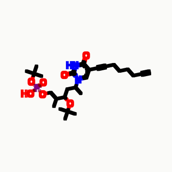 C#CCCCCC#Cc1cn(C(C)CC(OC(C)(C)C)C(C)COP(=O)(O)OC(C)(C)C)c(=O)[nH]c1=O